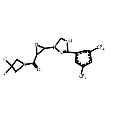 O=C(C1OC1N1CNC(c2cc(C(F)(F)F)cc(C(F)(F)F)c2)=N1)N1CC(F)(F)C1